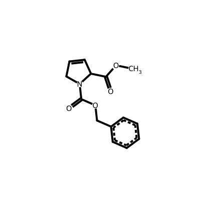 COC(=O)C1C=CCN1C(=O)OCc1ccccc1